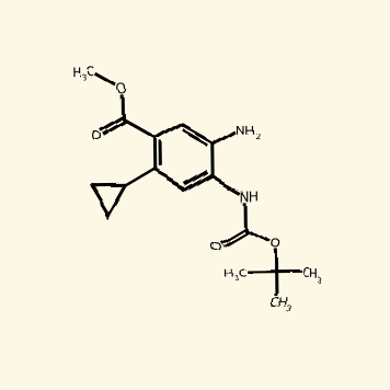 COC(=O)c1cc(N)c(NC(=O)OC(C)(C)C)cc1C1CC1